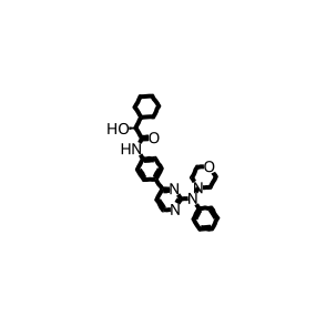 O=C(Nc1ccc(-c2ccnc(N(c3ccccc3)N3CCOCC3)n2)cc1)[C@@H](O)C1CCCCC1